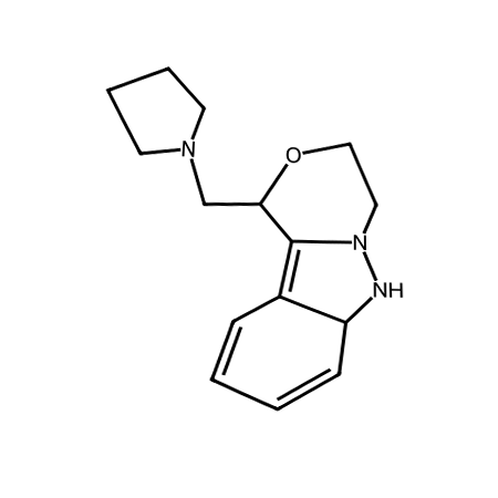 C1=CC2=C3C(CN4CCCC4)OCCN3NC2C=C1